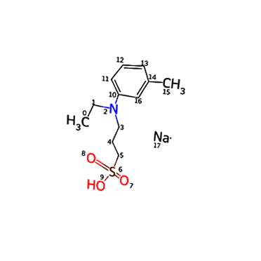 CCN(CCCS(=O)(=O)O)c1cccc(C)c1.[Na]